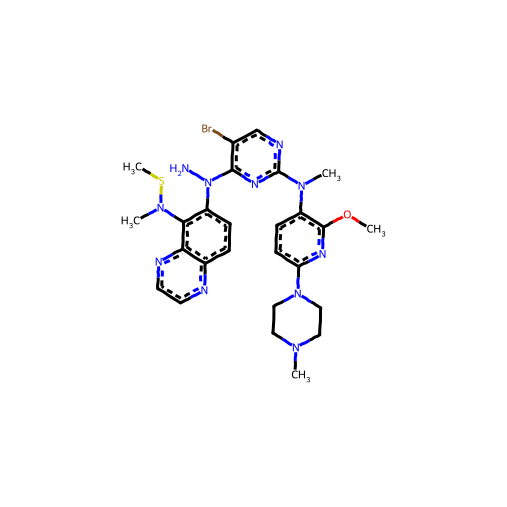 COc1nc(N2CCN(C)CC2)ccc1N(C)c1ncc(Br)c(N(N)c2ccc3nccnc3c2N(C)SC)n1